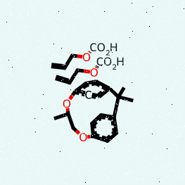 C=CCOC(=O)O.C=CCOC(=O)O.CC1COc2ccc(cc2)C(C)(C)c2ccc(cc2)O1